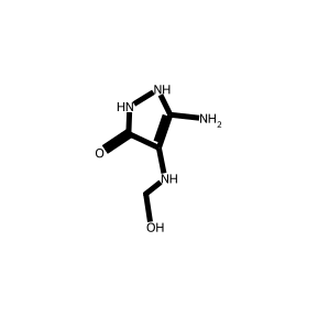 Nc1[nH][nH]c(=O)c1NCO